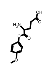 COc1ccc(OC(=O)C(N)CCC(=O)O)cc1